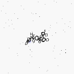 COc1ccc(S(=O)(=O)N2CCC(F)(C(=O)N[C@H](C)/C=C\S(C)(=O)=O)CC2)c(-c2cccc(F)c2Cl)c1